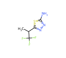 CC(c1nnc(N)s1)C(F)(F)F